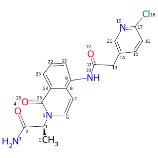 C[C@@H](C(N)=O)n1ccc2c(NC(=O)Cc3ccc(Cl)nc3)cccc2c1=O